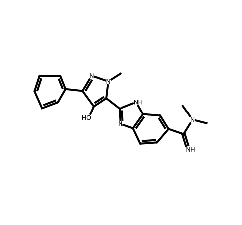 CN(C)C(=N)c1ccc2nc(-c3c(O)c(-c4ccccc4)nn3C)[nH]c2c1